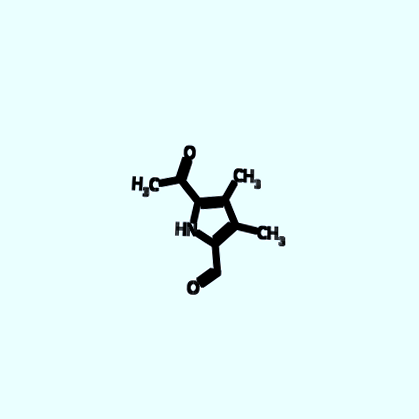 CC(=O)c1[nH]c(C=O)c(C)c1C